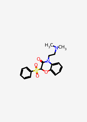 CN(C)CCN1C(=O)C(S(=O)(=O)c2ccccc2)Oc2ccccc21